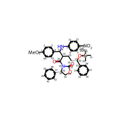 COc1ccc(C(Nc2ccc([N+](=O)[O-])cc2)C(CC[C@H](O[Si](C)(C)C(C)(C)C)c2ccccc2)C(=O)N2C(=O)OC[C@@H]2c2ccccc2)cc1